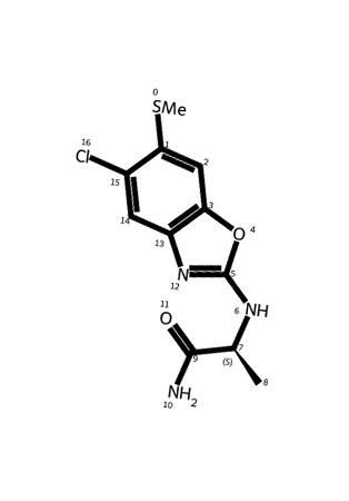 CSc1cc2oc(N[C@@H](C)C(N)=O)nc2cc1Cl